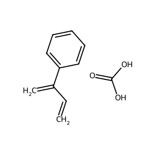 C=CC(=C)c1ccccc1.O=C(O)O